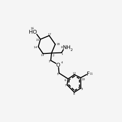 NCC1(COCc2cccc(F)c2)CCC(O)CC1